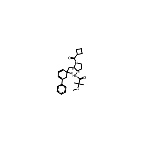 COC(C)(C)C(=O)N[C@@H]1CCN(C(=O)C2CCC2)[C@@H]1CC1(F)C=CC=C(c2ccccc2)C1